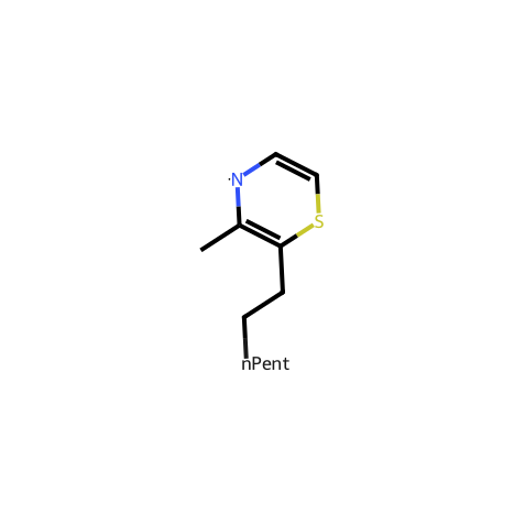 CCCCCCCC1=C(C)[N]C=CS1